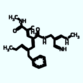 CC/C=C(/C=C(\C=C(/C)C(=O)NC)C(=O)NC/C(C=N)=C/NC)Cc1ccccc1